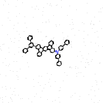 c1ccc(-c2ccc(N(c3ccc(-c4ccccc4)cc3)c3ccc4c(c3)c3ccccc3c3cc5c6ccc(-c7cc(-c8ccccc8)cc(-c8ccccc8)c7)cc6c6ccccc6c5cc43)cc2)cc1